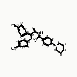 CC(NC(=O)c1ccc(N2CCCCC2)cc1)C(Cc1ccc(Cl)cc1)c1ccc(Cl)cc1